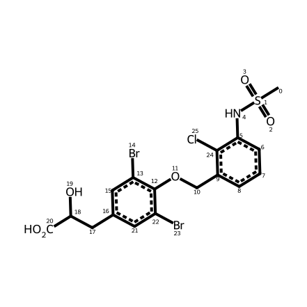 CS(=O)(=O)Nc1cccc(COc2c(Br)cc(CC(O)C(=O)O)cc2Br)c1Cl